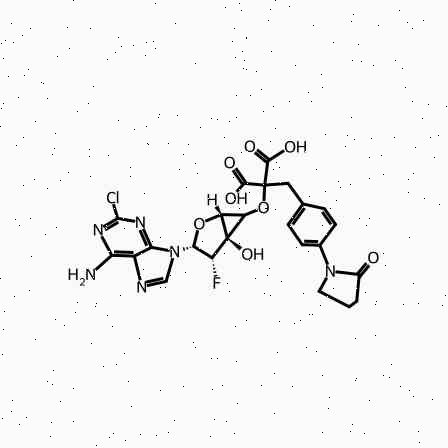 Nc1nc(Cl)nc2c1ncn2[C@@H]1O[C@@H]2C(OC(Cc3ccc(N4CCCC4=O)cc3)(C(=O)O)C(=O)O)[C@]2(O)[C@@H]1F